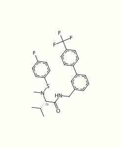 CC(C)[C@@H](C(=O)NCc1cccc(-c2ccc(C(F)(F)F)cc2)c1)N(C)Sc1ccc(F)cc1